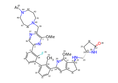 COc1nc(-c2cccc(-c3cccc(-c4cc5c(c(OC)n4)[C@@H](NC[C@@H]4CCC(=O)N4)CC5)c3C)c2F)cnc1CN1CCCN(C(C)=O)CCC1